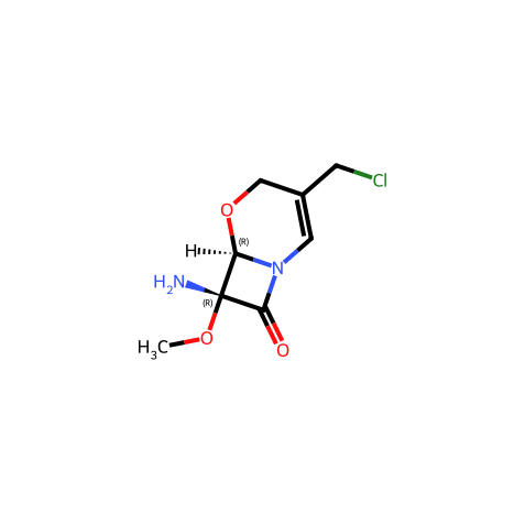 CO[C@@]1(N)C(=O)N2C=C(CCl)CO[C@@H]21